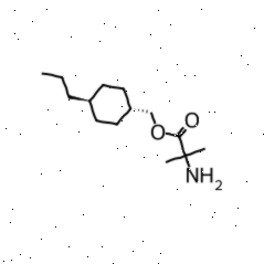 CCC[C@H]1CC[C@H](COC(=O)C(C)(C)N)CC1